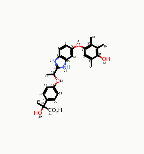 Cc1cc(Oc2ccc3nc(C(C)Oc4ccc(C(C)(O)C(=O)O)cc4)[nH]c3c2)c(C)c(C)c1O